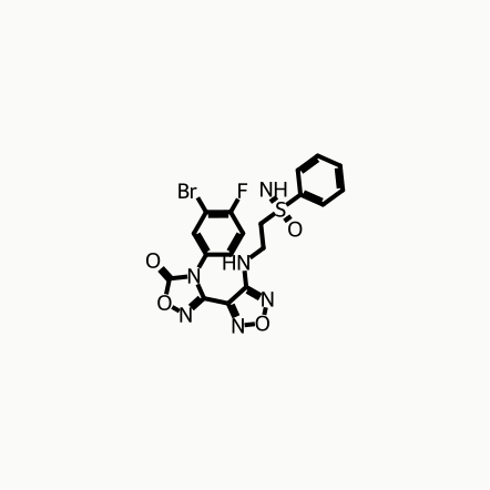 N=S(=O)(CCNc1nonc1-c1noc(=O)n1-c1ccc(F)c(Br)c1)c1ccccc1